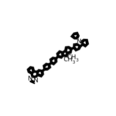 CC1(C)c2cc(-c3ccc(-c4ccc(-c5ccc6c(c5)c5ccccc5c5nccnc65)cc4)cc3)ccc2-c2ccc(-c3ccc4c5ccccc5n(-c5ccccc5)c4c3)cc21